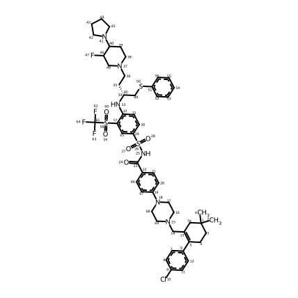 CC1(C)CCC(c2ccc(Cl)cc2)=C(CN2CCN(c3ccc(C(=O)NS(=O)(=O)c4ccc(N[C@H](CCN5CCC(N6CCCC6)C(F)C5)CSc5ccccc5)c(S(=O)(=O)C(F)(F)F)c4)cc3)CC2)C1